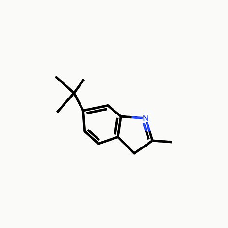 CC1=Nc2cc(C(C)(C)C)ccc2C1